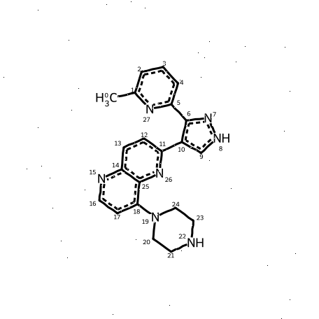 Cc1cccc(-c2n[nH]cc2-c2ccc3nccc(N4CCNCC4)c3n2)n1